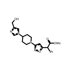 COC(=O)C(c1cc(N2CCC(n3cnc(CO)c3)CC2)no1)C(C)C